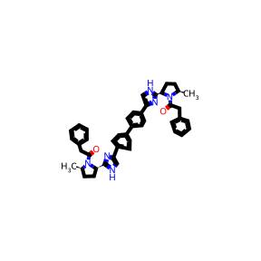 C[C@H]1CC[C@@H](c2nc(-c3ccc(-c4ccc(-c5c[nH]c([C@@H]6CC[C@H](C)N6C(=O)Cc6ccccc6)n5)cc4)cc3)c[nH]2)N1C(=O)Cc1ccccc1